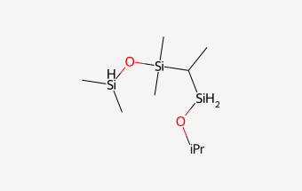 CC(C)O[SiH2]C(C)[Si](C)(C)O[SiH](C)C